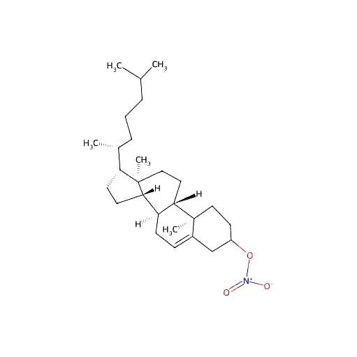 CC(C)CCC[C@@H](C)[C@H]1CC[C@H]2[C@@H]3CC=C4CC(O[N+](=O)[O-])CC[C@]4(C)[C@H]3CC[C@]12C